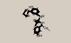 C[C@H](Nc1c(Nc2ccc(O)c(-c3ncccn3)c2)c(=O)c1=O)c1cccc(O)c1